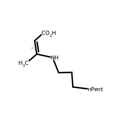 CCCCCCCCN/C(C)=C\C(=O)O